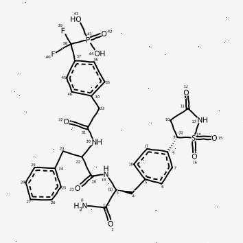 NC(=O)[C@H](Cc1ccc([C@@H]2CC(=O)NS2(=O)=O)cc1)NC(=O)C(Cc1ccccc1)NC(=O)Cc1ccc(C(F)(F)P(=O)(O)O)cc1